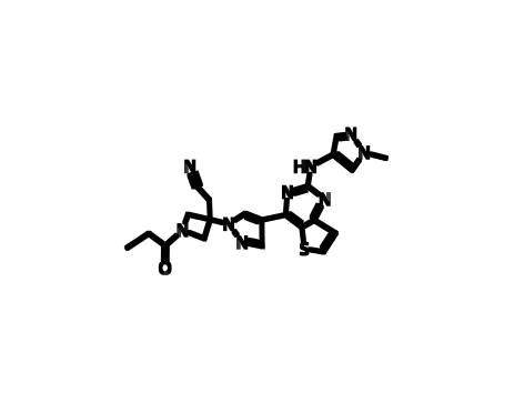 CCC(=O)N1CC(CC#N)(n2cc(-c3nc(Nc4cnn(C)c4)nc4ccsc34)cn2)C1